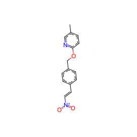 Cc1ccc(OCc2ccc(C=C[N+](=O)[O-])cc2)nc1